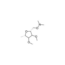 COC1C(OC)[C@@H](CON(C)C)O[C@H]1C